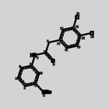 CSc1cccc(NC(=O)Cc2ccc(Cl)c(Cl)c2)c1